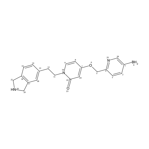 Bc1ccc(COc2ccn(CCc3ccc4c(c3)CNC4)c(=O)c2)nc1